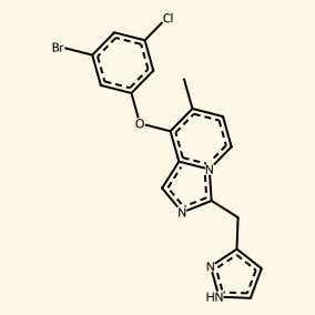 Cc1ccn2c(Cc3cc[nH]n3)ncc2c1Oc1cc(Cl)cc(Br)c1